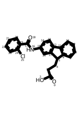 O=C(O)CCC1c2ccccc2-c2ccc(NC(=O)c3ccccc3Cl)cc21